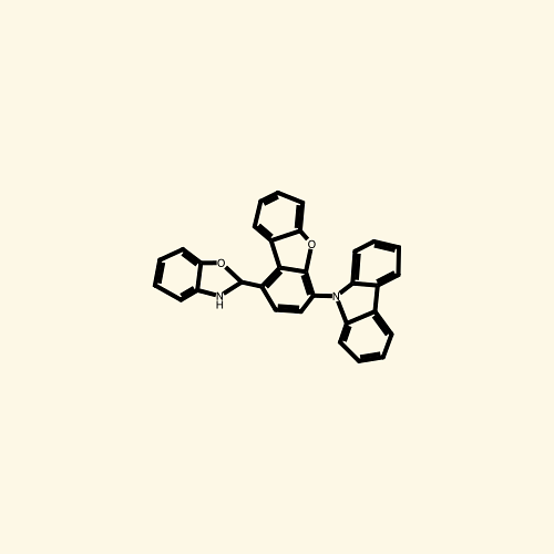 c1ccc2c(c1)NC(c1ccc(-n3c4ccccc4c4ccccc43)c3oc4ccccc4c13)O2